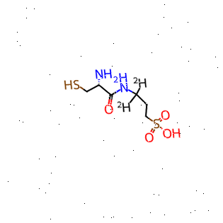 [2H]C([2H])(CCS(=O)(=O)O)NC(=O)[C@@H](N)CS